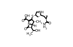 C[C@@H](O)[C@H]1C(=O)N2C(C(=O)O)=C(S[C@@H]3CN[C@H]([C@@H]4C[C@H]4C(N)=O)C3)[C@H](C)[C@H]12